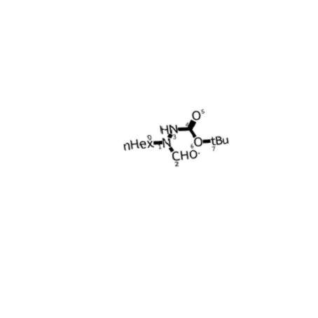 CCCCCCN([C]=O)NC(=O)OC(C)(C)C